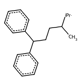 C[C](C)C(C)CCC(c1ccccc1)c1ccccc1